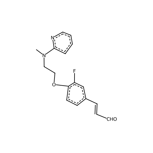 CN(CCOc1ccc(C=CC=O)cc1F)c1ccccn1